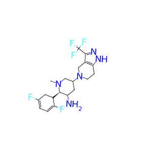 CN1CC(N2CCc3[nH]nc(C(F)(F)F)c3C2)CC(N)[C@H]1C1CC(F)=CC=C1F